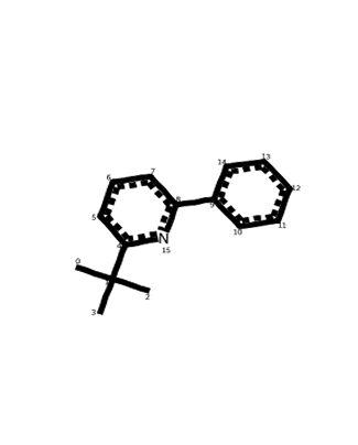 CC(C)(C)c1cccc(-c2ccccc2)n1